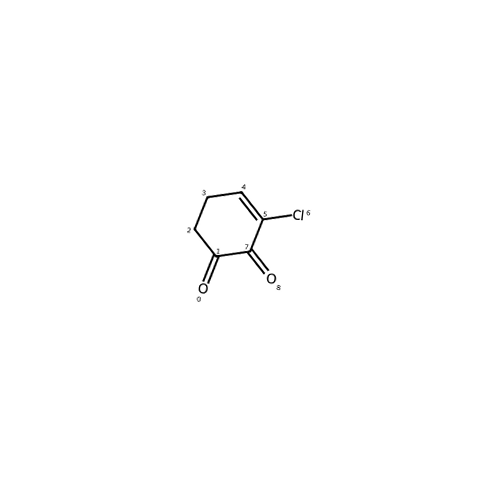 O=C1CCC=C(Cl)C1=O